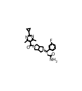 Cc1nc(C2CC2)nc(C)c1C(=O)N1CC2CN([C@@H](CC(N)=O)c3cccc(F)c3)CC2C1